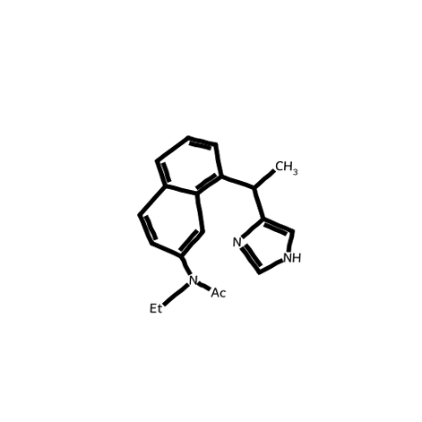 CCN(C(C)=O)c1ccc2cccc(C(C)c3c[nH]cn3)c2c1